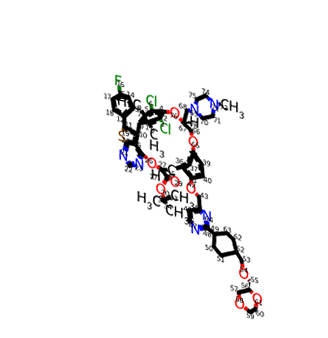 Cc1c(Cl)c2c(Cl)c(C)c1-c1c(-c3ccc(F)cc3)sc3ncnc(c13)O[C@@H](C(=O)OC(C)(C)C)Cc1cc(ccc1OCc1ccnc(C3CCC(COC[C@H]4COCCO4)CC3)n1)OC[C@@H](CN1CCN(C)CC1)O2